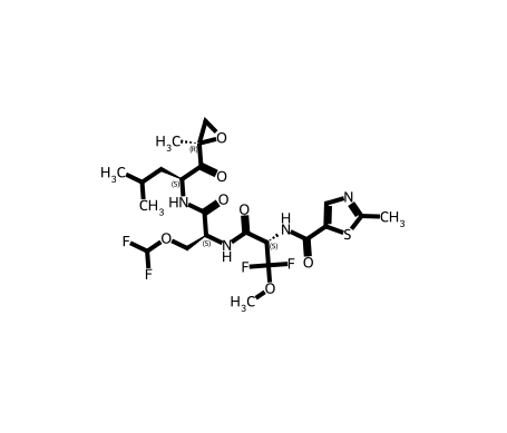 COC(F)(F)[C@@H](NC(=O)c1cnc(C)s1)C(=O)N[C@@H](COC(F)F)C(=O)N[C@@H](CC(C)C)C(=O)[C@@]1(C)CO1